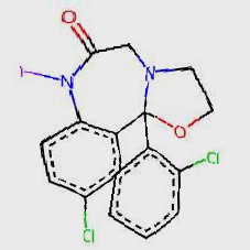 O=C1CN2CCOC2(c2ccccc2Cl)c2cc(Cl)ccc2N1I